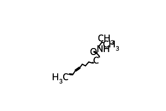 CC=CC#CCCCC=C=CC(=O)NCC(C)C